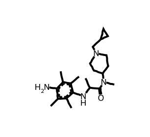 Cc1c(C)c(NC(C)C(=O)N(C)C2CCN(CC3CC3)CC2)c(C)c(C)c1N